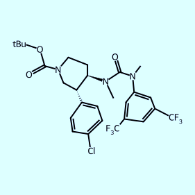 CN(C(=O)N(C)[C@@H]1CCN(C(=O)OC(C)(C)C)C[C@H]1c1ccc(Cl)cc1)c1cc(C(F)(F)F)cc(C(F)(F)F)c1